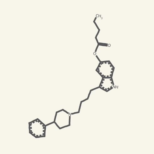 CCCCC(=O)Oc1ccc2[nH]cc(CCCCN3CCC(c4ccccc4)CC3)c2c1